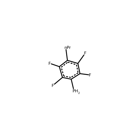 CCCc1c(F)c(F)c(P)c(F)c1F